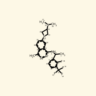 Cc1nnc(NC(C)c2cccc(C(F)(F)F)c2F)c2cc(N3CC(N(C)C)C3)ccc12